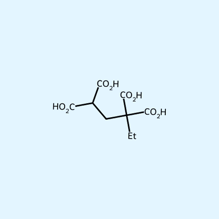 CCC(CC(C(=O)O)C(=O)O)(C(=O)O)C(=O)O